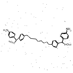 CCCCCCCCC(c1ccc(N)cc1)c1ccc(CCCCCCCCc2ccc(C(CCCCCCCC)c3ccc(N)cc3)cc2)cc1